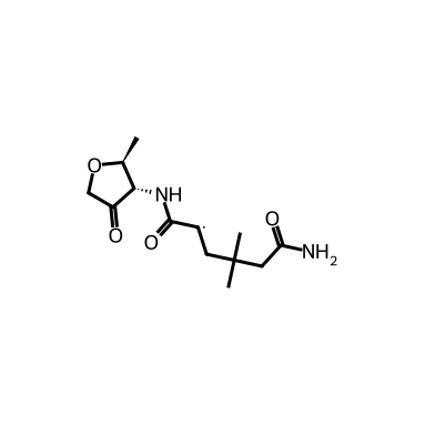 C[C@@H]1OCC(=O)[C@H]1NC(=O)[CH]CC(C)(C)CC(N)=O